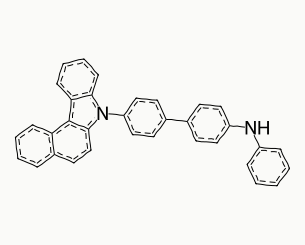 c1ccc(Nc2ccc(-c3ccc(-n4c5ccccc5c5c6ccccc6ccc54)cc3)cc2)cc1